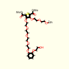 CCCOCCOCCOc1c(C(=O)OC)sc(C(=O)OC)c1OCCOCCOCCOCCOc1ccccc1OCCO